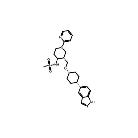 CS(=O)(=O)N[C@H]1CCN(c2ccccn2)C[C@H]1CO[C@H]1CC[C@@H](c2ccc3[nH]ncc3c2)CC1